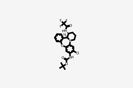 CC(C)(C)OC(=O)Nc1cc2c(cc1Cl)N1CCC[C@@H](NC(=O)C(F)(F)F)[C@@H]1c1ccccc1O2